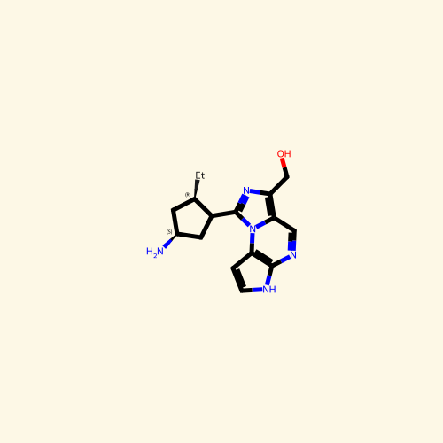 CC[C@@H]1C[C@H](N)CC1c1nc(CO)c2cnc3[nH]ccc3n12